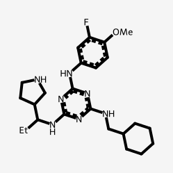 CCC(Nc1nc(NCC2CCCCC2)nc(Nc2ccc(OC)c(F)c2)n1)C1CCNC1